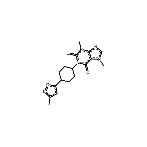 Cc1cc(C2CCC(n3c(=O)c4c(ncn4C)n(C)c3=O)CC2)on1